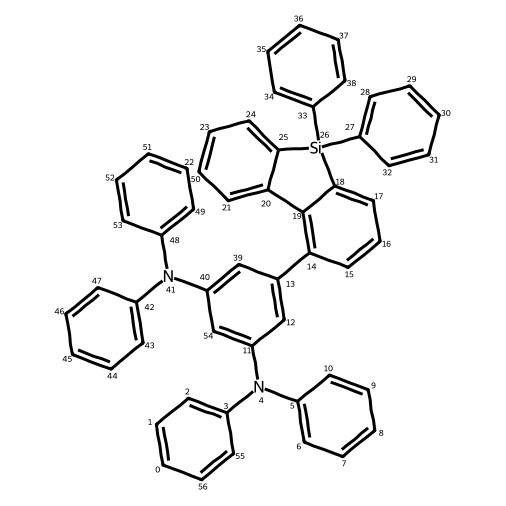 c1ccc(N(c2ccccc2)c2cc(-c3cccc4c3-c3ccccc3[Si]4(c3ccccc3)c3ccccc3)cc(N(c3ccccc3)c3ccccc3)c2)cc1